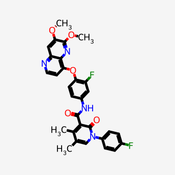 COc1cc2nccc(Oc3ccc(NC(=O)c4c(C)c(C)cn(-c5ccc(F)cc5)c4=O)cc3F)c2nc1OC